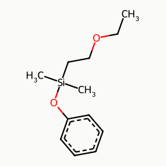 CCOCC[Si](C)(C)Oc1ccccc1